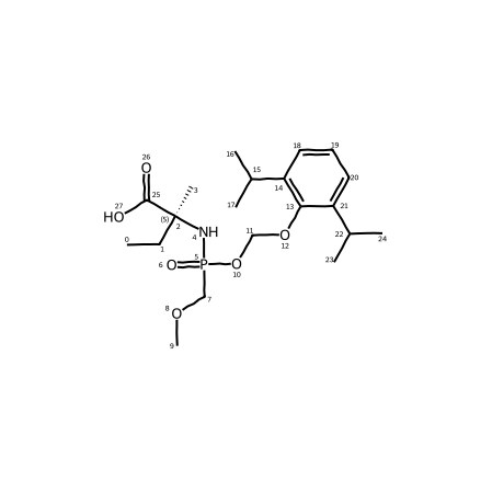 CC[C@](C)(NP(=O)(COC)OCOc1c(C(C)C)cccc1C(C)C)C(=O)O